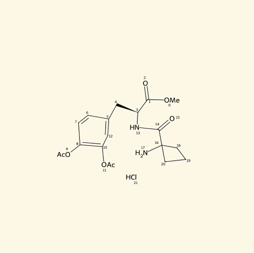 COC(=O)[C@H](Cc1ccc(OC(C)=O)c(OC(C)=O)c1)NC(=O)C1(N)CCC1.Cl